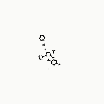 COc1cc(C(=O)N2C(c3nccs3)[C@H](COC(=S)Oc3ccc(F)cc3)C[C@@]2(CC(C)C)C(=O)O)ccc1C(C)(C)C